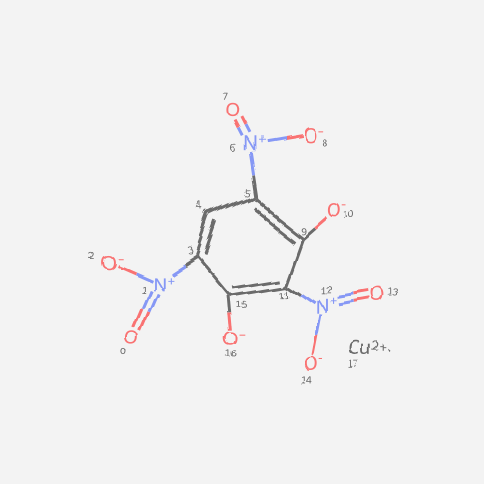 O=[N+]([O-])c1cc([N+](=O)[O-])c([O-])c([N+](=O)[O-])c1[O-].[Cu+2]